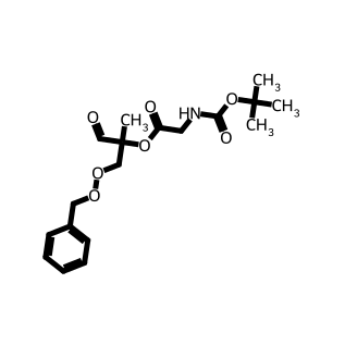 CC(C)(C)OC(=O)NCC(=O)OC(C)(C=O)COOCc1ccccc1